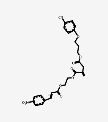 [C-]#[N+]c1ccc(OCCCOC(=O)CC(=C)C(=O)OCCOC(=O)/C=C/c2ccc([N+](=O)[O-])cc2)cc1